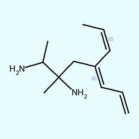 C=C/C=C(\C=C/C)CC(C)(N)C(C)N